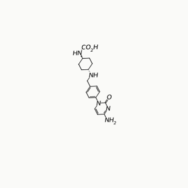 Nc1ccn(-c2ccc(CN[C@H]3CC[C@H](NC(=O)O)CC3)cc2)c(=O)n1